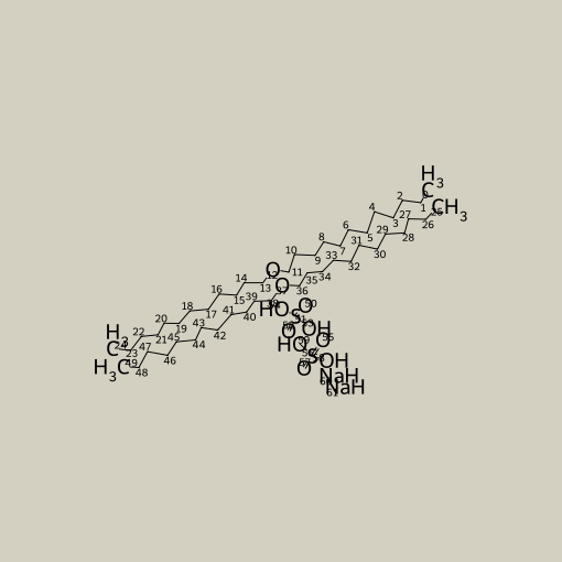 CCCCCCCCCCCCOCCCCCCCCCCCC.CCCCCCCCCCCCOCCCCCCCCCCCC.O=S(=O)(O)O.O=S(=O)(O)O.[NaH].[NaH]